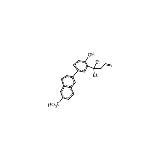 C=CCC(CC)(CC)c1cc(-c2ccc3cc(C(=O)O)ccc3c2)ccc1O